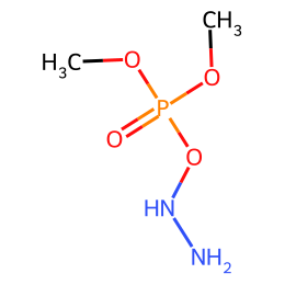 COP(=O)(OC)ONN